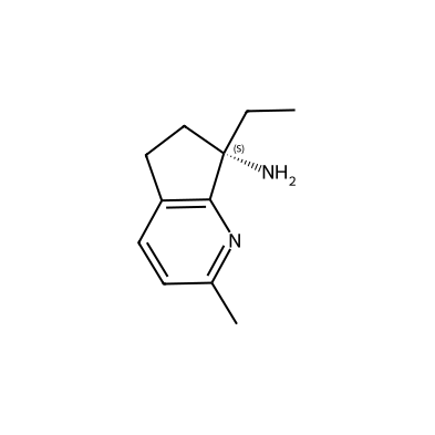 CC[C@]1(N)CCc2ccc(C)nc21